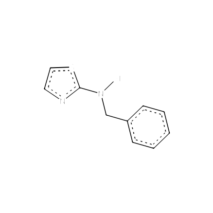 SN(Cc1ccccc1)c1nccs1